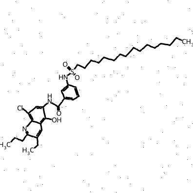 CCCCCCCCCCCCCCCCS(=O)(=O)Nc1cccc(C(=O)Nc2cc(Cl)c3nc(CCC)c(CC)cc3c2O)c1